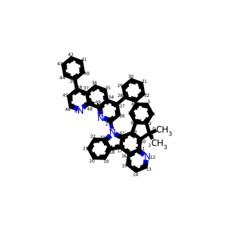 CC1(C)c2ccccc2-c2c1c1ncccc1c1c3ccccc3n(-c3cc(-c4ccccc4)c4ccc5c(-c6ccccc6)ccnc5c4n3)c21